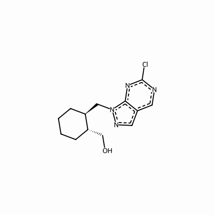 OC[C@@H]1CCCC[C@H]1Cn1ncc2cnc(Cl)nc21